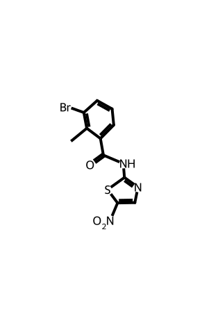 Cc1c(Br)cccc1C(=O)Nc1ncc([N+](=O)[O-])s1